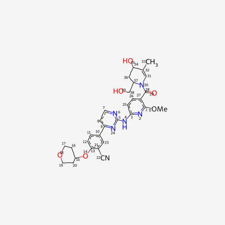 COc1nc(Nc2nccc(-c3ccc(OC4CCOCC4)c(C#N)c3)n2)ccc1C(=O)N1C=C(C)C(O)CC1CO